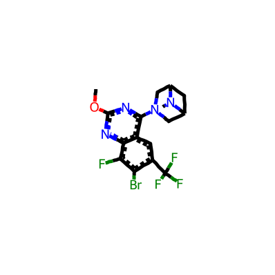 COc1nc(N2CC3CC(C2)N3C)c2cc(C(F)(F)F)c(Br)c(F)c2n1